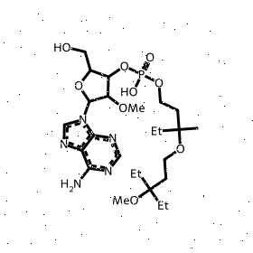 CCC(C)(CCOP(=O)(O)OC1C(CO)OC(n2cnc3c(N)ncnc32)C1OC)OCCC(CC)(CC)OC